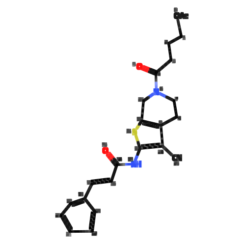 CC(=O)OCCCC(=O)N1CCc2c(sc(NC(=O)/C=C/c3ccccc3)c2C#N)C1